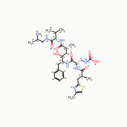 Cc1csc(C[C@H](C)C(=O)N[C@@H](CNC(=O)O)C(=O)N[C@@H](Cc2ccccc2)[C@@H](O)C[C@@H](C)C(=O)N[C@H](C(=O)NCC(C)C)C(C)C)n1